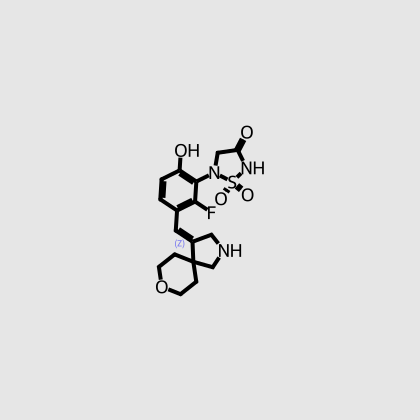 O=C1CN(c2c(O)ccc(/C=C3\CNCC34CCOCC4)c2F)S(=O)(=O)N1